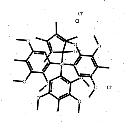 COc1cc([Si](c2cc(OC)c(C)c(OC)c2OC)(c2cc(OC)c(C)c(OC)c2OC)[C]2([Ti+3])C(C)=C(C)C(C)=C2C)c(OC)c(OC)c1C.[Cl-].[Cl-].[Cl-]